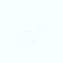 O=C(O)CCC[C@]1(O)[C@H](O)[C@H](O)[C@@H](O)[C@H](O)[C@H]1O